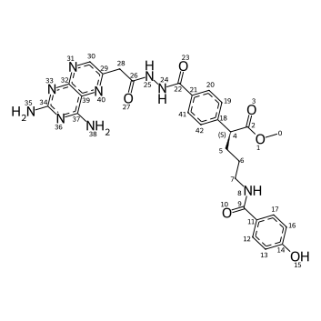 COC(=O)[C@@H](CCCNC(=O)c1ccc(O)cc1)c1ccc(C(=O)NNC(=O)Cc2cnc3nc(N)nc(N)c3n2)cc1